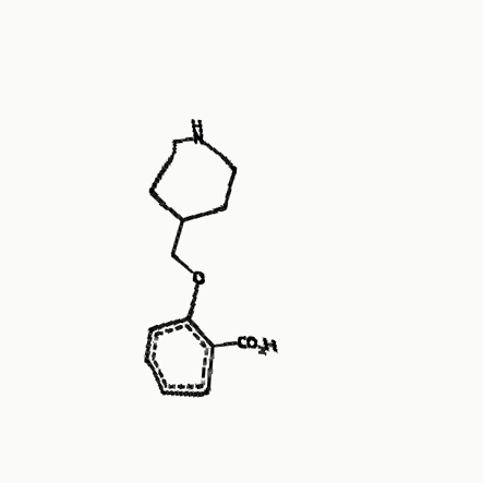 O=C(O)c1ccccc1OCC1CCNCC1